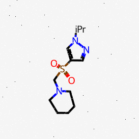 CC(C)n1cc(S(=O)(=O)CN2CCCCC2)cn1